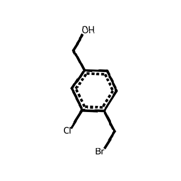 OCc1ccc(CBr)c(Cl)c1